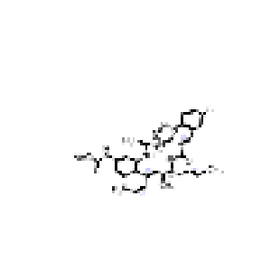 C=C(C)Nc1cc(NC(=O)OC)ccc1C(/C=C\N)=C/C(=C)[C@H](C/C=C/C)NC(=O)/C=C/c1cc(Cl)ccc1-n1cnnn1